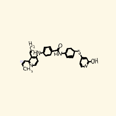 C=Cc1c(Nc2ccc(C(=O)Nc3ccc(Sc4ccnc(O)c4)cc3)cc2)ccnc1/C=C\C